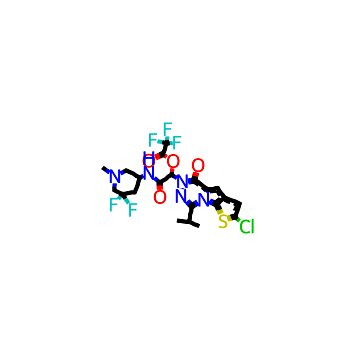 CC(C)c1nn(C(OC(=O)C(F)(F)F)C(=O)NC2CN(C)CC(F)(F)C2)c(=O)c2cc3cc(Cl)sc3n12